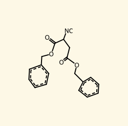 [C-]#[N+]C(CC(=O)OCc1ccccc1)C(=O)OCc1ccccc1